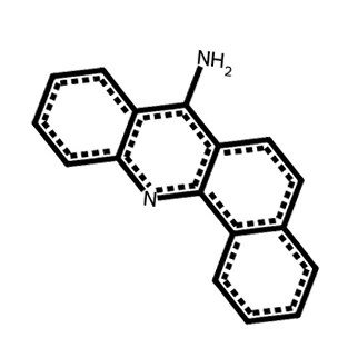 Nc1c2ccccc2nc2c1ccc1ccccc12